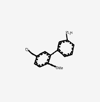 COc1ccc(Cl)cc1-c1cccc(S(=O)(=O)O)c1